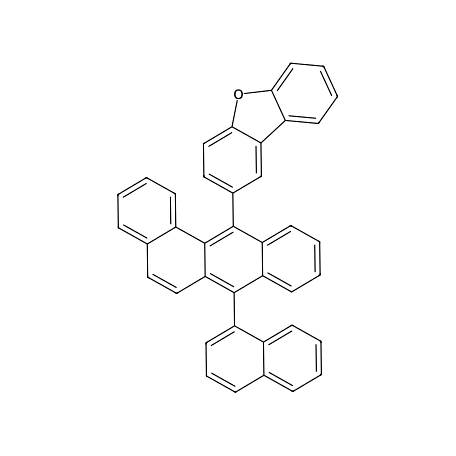 c1ccc2c(-c3c4ccccc4c(-c4ccc5oc6ccccc6c5c4)c4c3ccc3ccccc34)cccc2c1